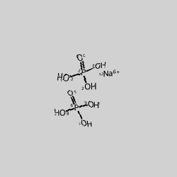 O=P(O)(O)O.O=P(O)(O)O.[Na+6]